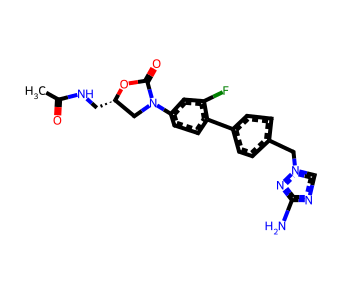 CC(=O)NC[C@H]1CN(c2ccc(-c3ccc(Cn4cnc(N)n4)cc3)c(F)c2)C(=O)O1